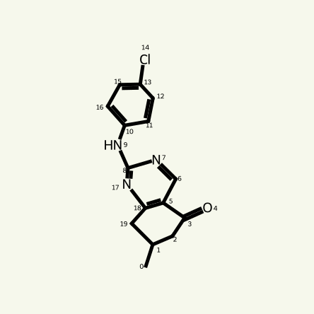 CC1CC(=O)c2cnc(Nc3ccc(Cl)cc3)nc2C1